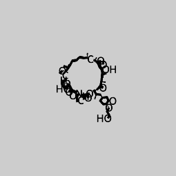 CO[C@H]1C[C@@H]2CC[C@@H](C)[C@@](O)(O2)C(=O)C(=O)N2CCCC[C@H]2C(=O)O[C@H]([C@H](C)C[C@@H]2CC[C@@H](OCCO)[C@H](OC)C2)CC(=O)[C@H](C)/C=C(\C)C(O)[C@@H](OC)C(=O)[C@H](C)C[C@H](C)/C=C/C=C/C=C/1C